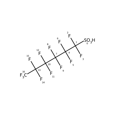 O=S(=[18O])([18OH])C(F)(F)C(F)(F)C(F)(F)C(F)(F)C(F)(F)C(F)(F)F